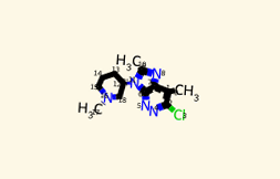 Cc1c(Cl)nnc2c1nc(C)n2[C@@H]1CCCN(C)C1